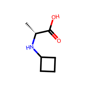 C[C@@H](NC1CCC1)C(=O)O